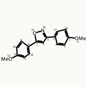 COc1ccc(-c2cc(-c3ccc(OC)cc3)on2)cc1